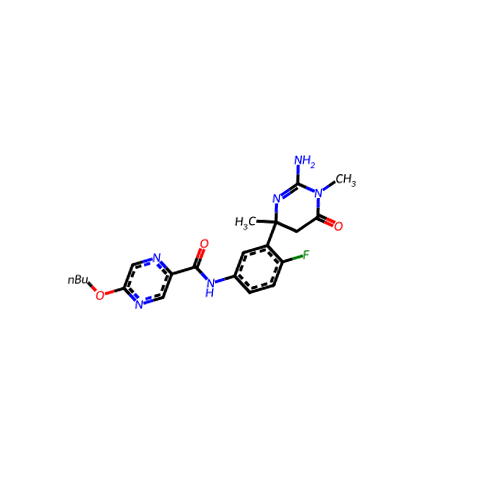 CCCCOc1cnc(C(=O)Nc2ccc(F)c(C3(C)CC(=O)N(C)C(N)=N3)c2)cn1